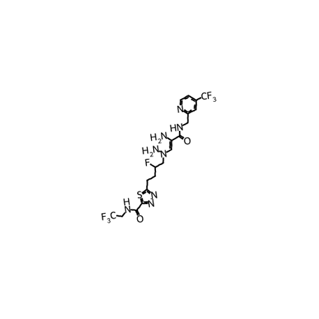 N/C(=C\N(N)CC(F)CCc1nnc(C(=O)NCC(F)(F)F)s1)C(=O)NCc1cc(C(F)(F)F)ccn1